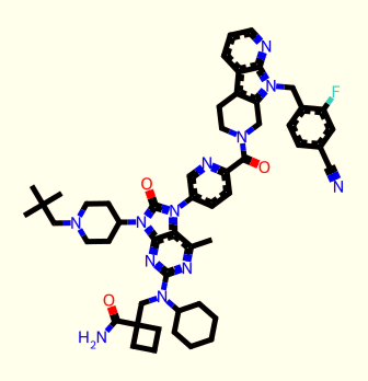 Cc1nc(N(CC2(C(N)=O)CCC2)C2CCCCC2)nc2c1n(-c1ccc(C(=O)N3CCc4c(n(Cc5ccc(C#N)cc5F)c5ncccc45)C3)nc1)c(=O)n2C1CCN(CC(C)(C)C)CC1